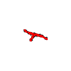 C=CC(=O)OCCCCCCOc1ccc(OC(=O)C2CCC(C(=O)Oc3ccc(OC(=O)C4CCC(C(=O)Oc5ccc(OCCCCCCOC(=O)C=C)cc5)CC4)c(/C=N/N=C/c4ccc(C#Cc5ccc(C)cc5C)cc4)c3)CC2)cc1